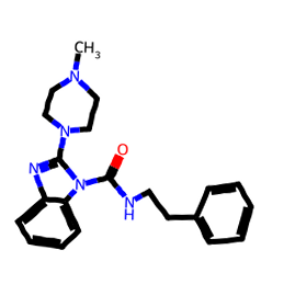 CN1CCN(c2nc3ccccc3n2C(=O)NCCc2ccccc2)CC1